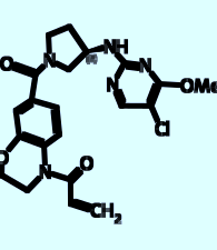 C=CC(=O)N1CCOc2cc(C(=O)N3CC[C@@H](Nc4ncc(Cl)c(OC)n4)C3)ccc21